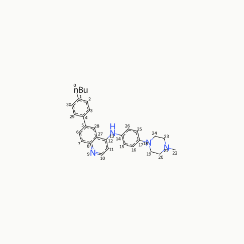 CCCCc1ccc(-c2ccc3nccc(Nc4ccc(N5CCN(C)CC5)cc4)c3c2)cc1